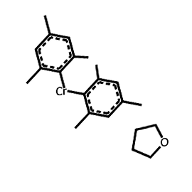 C1CCOC1.Cc1cc(C)[c]([Cr][c]2c(C)cc(C)cc2C)c(C)c1